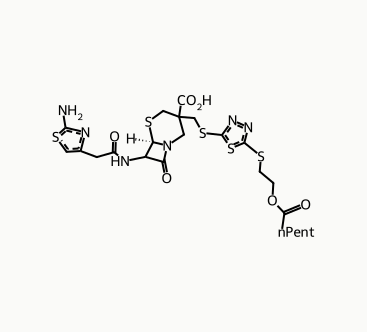 CCCCCC(=O)OCCSc1nnc(SCC2(C(=O)O)CS[C@@H]3C(NC(=O)Cc4csc(N)n4)C(=O)N3C2)s1